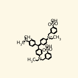 CCN(Cc1cccc(S(=O)(=O)O)c1)c1ccc(C(=C2C=CC(=[N+](CC)Cc3cccc(S(=O)(=O)O)c3)C=C2)c2ccc(N(C)C)cc2)cc1